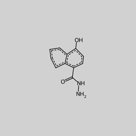 NNC(=O)c1ccc(O)c2ccccc12